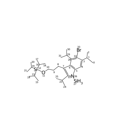 CC(C)c1cc2c(c(CCCO[Si](C(C)C)(C(C)C)C(C)C)c(C(C)C)n2[SiH3])c(C(C)C)c1Br